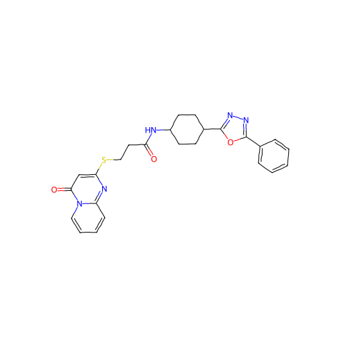 O=C(CCSc1cc(=O)n2ccccc2n1)NC1CCC(c2nnc(-c3ccccc3)o2)CC1